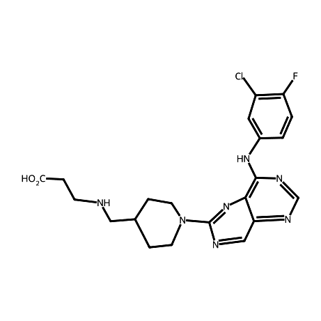 O=C(O)CCNCC1CCN(c2ncc3ncnc(Nc4ccc(F)c(Cl)c4)c3n2)CC1